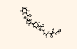 CC(CCNC(=O)c1ccc(-c2csc(NC(=O)c3ccncc3)n2)cc1)CC(=O)NCC#N